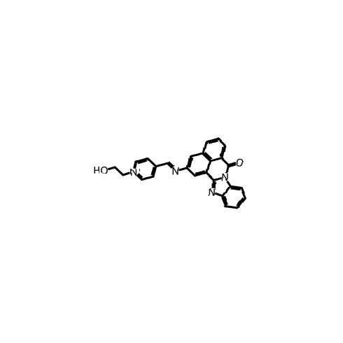 O=c1c2cccc3cc(/N=C/c4cc[n+](CCO)cc4)cc(c32)c2nc3ccccc3n12